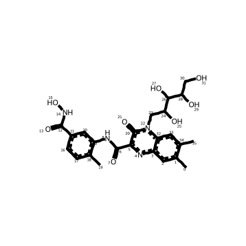 Cc1cc2nc(C(=O)Nc3cc(C(=O)NO)ccc3C)c(=O)n(CC(O)C(O)C(O)CO)c2cc1C